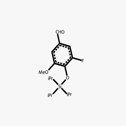 COc1cc(C=O)cc(F)c1O[Si](C(C)C)(C(C)C)C(C)C